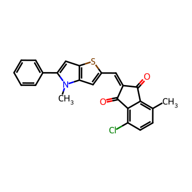 Cc1ccc(Cl)c2c1C(=O)/C(=C/c1cc3c(cc(-c4ccccc4)n3C)s1)C2=O